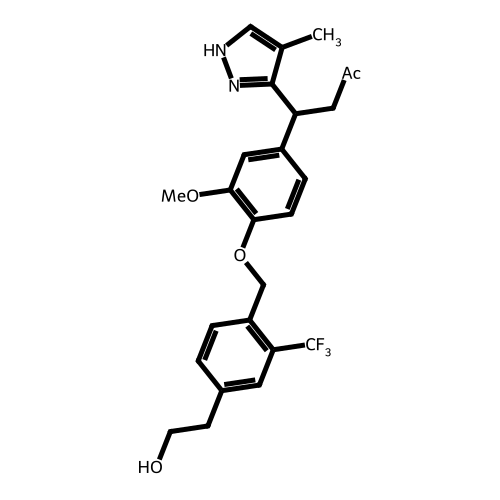 COc1cc(C(CC(C)=O)c2n[nH]cc2C)ccc1OCc1ccc(CCO)cc1C(F)(F)F